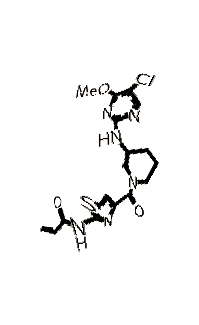 C=CC(=O)Nc1nc(C(=O)N2CCCC(Nc3ncc(Cl)c(OC)n3)C2)cs1